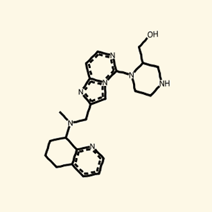 CN(Cc1cn2c(N3CCNCC3CO)nccc2n1)C1CCCc2cccnc21